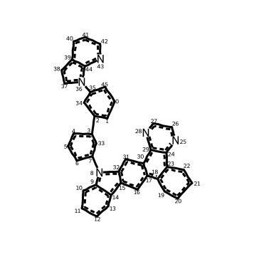 c1cc(-c2cccc(-n3c4ccccc4c4cc5c6ccccc6c6nccnc6c5cc43)c2)cc(-n2ccc3cccnc32)c1